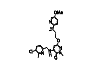 COc1ccc([C@H](C)CCOc2cc(NCc3ccc(Cl)c(C)n3)c(=O)n(C)n2)nc1